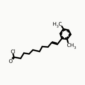 Cc1ccc(C)c(/C=C/CCCCCCCC(=O)Cl)c1